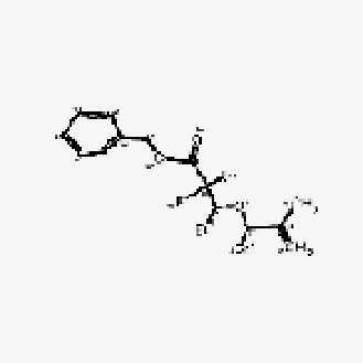 C=C(C)C(O)OC(CC)C(F)(F)C(=O)OCc1ccccc1